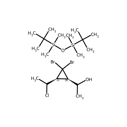 CC(C)(C)[Si](C)(C)O[Si](C)(C)C(C)(C)C.CC(Cl)[C@@H]1[C@H](C(C)O)C1(Br)Br